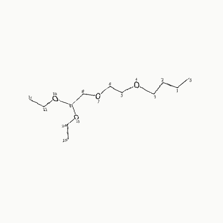 CCCCOCCOCC(OCC)OCC